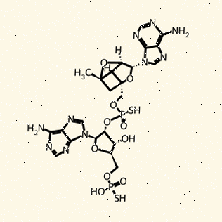 C[C@@]12C[C@]3(CO[P@@](=O)(S)O[C@@H]4[C@H](O)[C@@H](CO[P@@](=O)(O)S)O[C@H]4n4cnc5c(N)ncnc54)O[C@@H](n4cnc5c(N)ncnc54)[C@H](O1)[C@@H]32